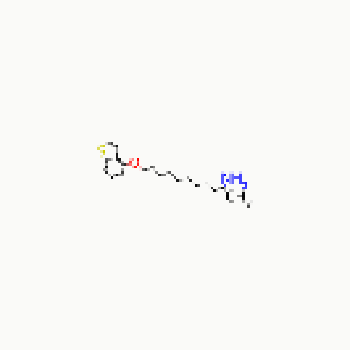 CC(N)CCCCCCCCCOc1cccc2sccc12